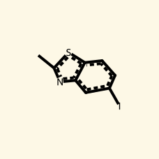 Cc1nc2cc(I)ccc2s1